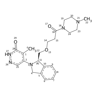 Cc1c(N2Cc3ccccc3[C@@H]2COCCC(=O)N2CCN(C)CC2)cn[nH]c1=O